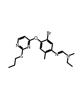 CCCSc1nccc(Oc2cc(C)c(N=CN(C)CC)cc2Br)n1